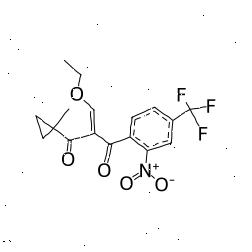 CCOC=C(C(=O)c1ccc(C(F)(F)F)cc1[N+](=O)[O-])C(=O)C1(C)CC1